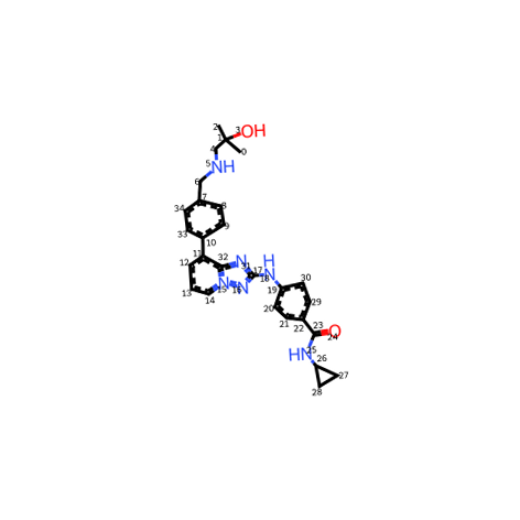 CC(C)(O)CNCc1ccc(-c2cccn3nc(Nc4ccc(C(=O)NC5CC5)cc4)nc23)cc1